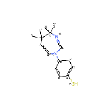 CC1(C)C=CN(c2ccc(S)cc2)C=NC1(C)C